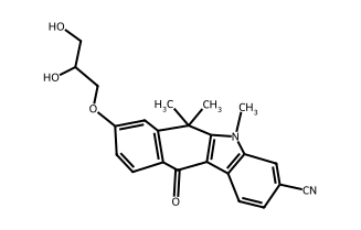 Cn1c2c(c3ccc(C#N)cc31)C(=O)c1ccc(OCC(O)CO)cc1C2(C)C